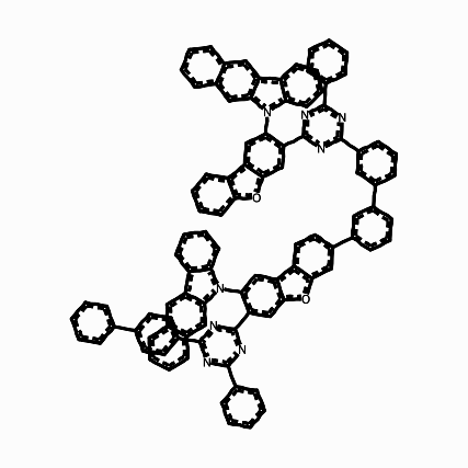 c1ccc(-c2ccc(-c3nc(-c4ccccc4)nc(-c4cc5oc6cc(-c7cccc(-c8cccc(-c9nc(-c%10ccccc%10)nc(-c%10cc%11oc%12ccccc%12c%11cc%10-n%10c%11ccccc%11c%11cc%12ccccc%12cc%11%10)n9)c8)c7)ccc6c5cc4-n4c5ccccc5c5cc6ccccc6cc54)n3)cc2)cc1